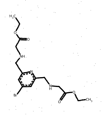 CCOC(=O)CNCc1cc(Br)cc(CNCC(=O)OCC)n1